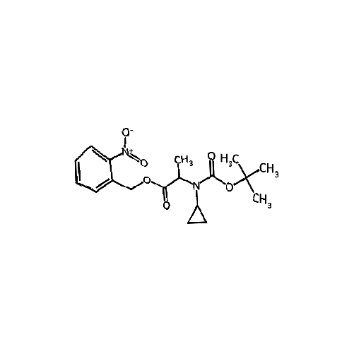 CC(C(=O)OCc1ccccc1[N+](=O)[O-])N(C(=O)OC(C)(C)C)C1CC1